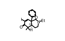 CCN1CC[C@H]2C(C)(C)C(=O)C(I)=CC2(c2ccccc2)C1=O